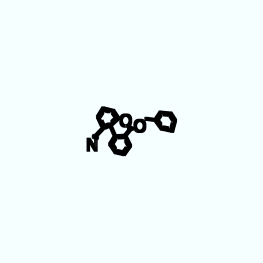 N#Cc1ccccc1-c1ccccc1C(=O)OCc1ccccc1